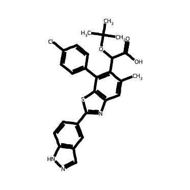 Cc1cc2nc(-c3ccc4[nH]ncc4c3)sc2c(-c2ccc(Cl)cc2)c1C(OC(C)(C)C)C(=O)O